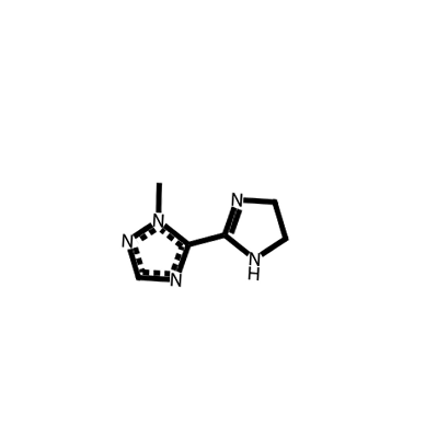 Cn1ncnc1C1=NCCN1